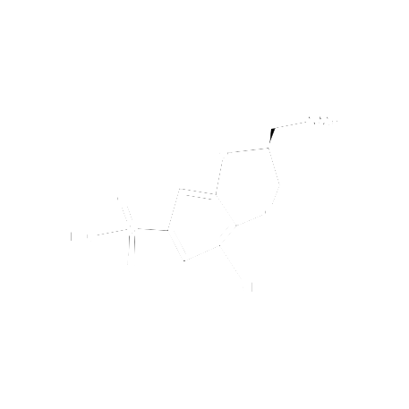 CNC[C@H]1COc2c(Cl)cc(S(C)(=O)=O)cc2O1